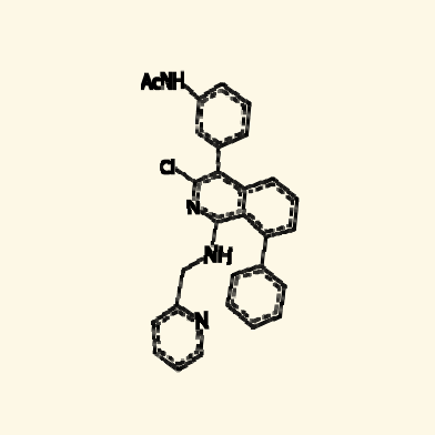 CC(=O)Nc1cccc(-c2c(Cl)nc(NCc3ccccn3)c3c(-c4ccccc4)cccc23)c1